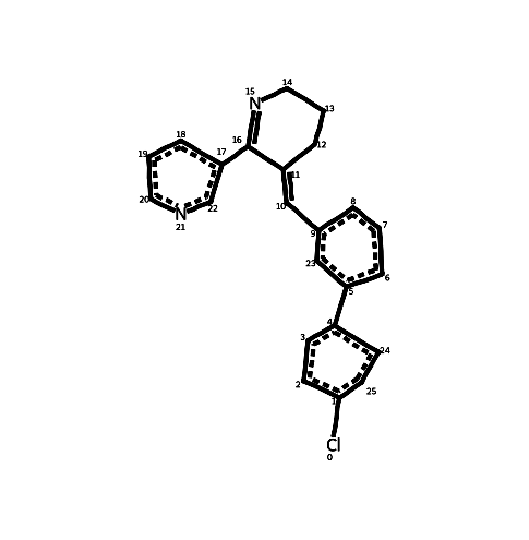 Clc1ccc(-c2cccc(C=C3CCCN=C3c3cccnc3)c2)cc1